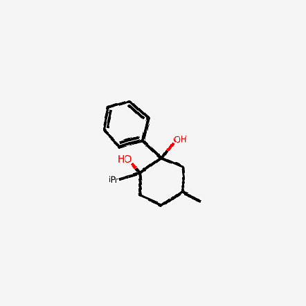 CC1CCC(O)(C(C)C)C(O)(c2ccccc2)C1